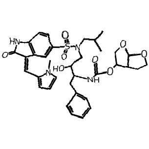 CC(C)CN(CC(O)C(Cc1ccccc1)NC(=O)OC1COC2OCCC12)S(=O)(=O)c1ccc2c(c1)C(=Cc1cccn1C)C(=O)N2